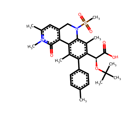 Cc1ccc(-c2c(C)c3c(c(C)c2[C@H](OC(C)(C)C)C(=O)O)N(S(C)(=O)=O)Cc2cc(C)n(C)c(=O)c2-3)cc1